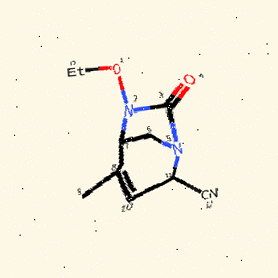 CCON1C(=O)N2CC1C(C)=CC2C#N